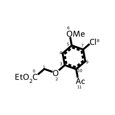 CCOC(=O)COc1cc(OC)c(Cl)cc1C(C)=O